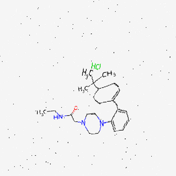 CCNC(=O)CN1CCN(c2ccccc2C2=CCC(C(C)(C)C)CC2)CC1.Cl